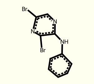 Brc1cnc(Nc2ccccc2)c(Br)n1